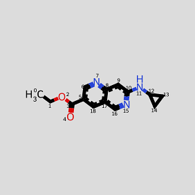 CCOC(=O)c1cnc2cc(NC3CC3)ncc2c1